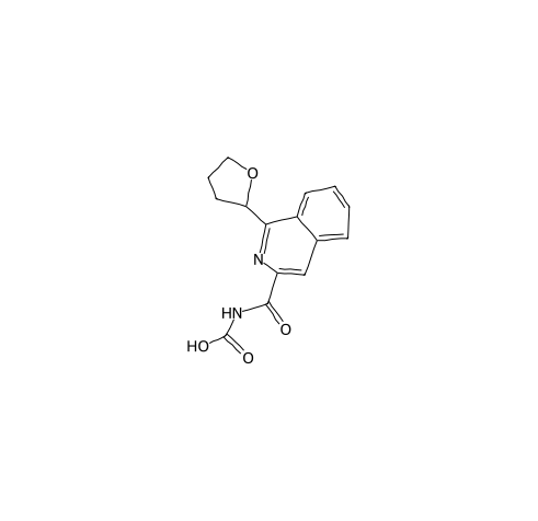 O=C(O)NC(=O)c1cc2ccccc2c(C2CCCO2)n1